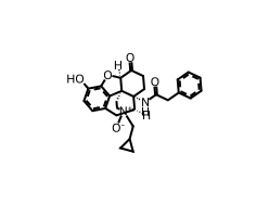 O=C(Cc1ccccc1)N[C@@]12CCC(=O)[C@@H]3Oc4c(O)ccc5c4[C@@]31CC[N+]([O-])(CC1CC1)[C@@H]2C5